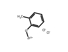 Cc1ccccc1[O][Zr+2].[Cl-].[Cl-]